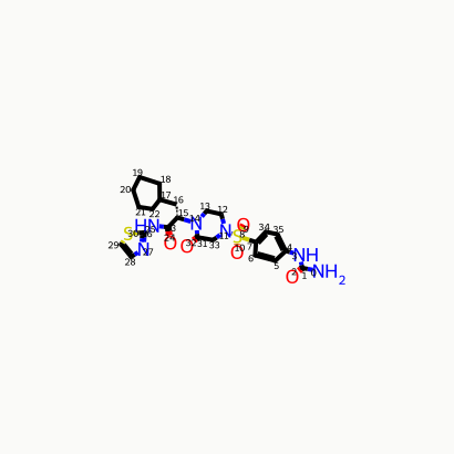 NC(=O)Nc1ccc(S(=O)(=O)N2CCN([C@@H](CC3CCCCC3)C(=O)Nc3nccs3)C(=O)C2)cc1